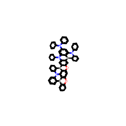 c1ccc(N(c2ccccc2)c2cc3c4c(c2)N(c2ccccc2)c2cc5c(cc2B4c2ccccc2N3c2ccccc2)Oc2cc3c4c6c2B5c2ccccc2N6c2ccccc2B4c2ccccc2O3)cc1